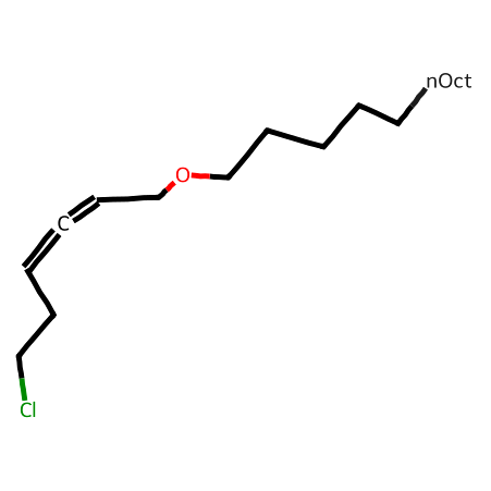 CCCCCCCCCCCCCOCC=C=CCCCl